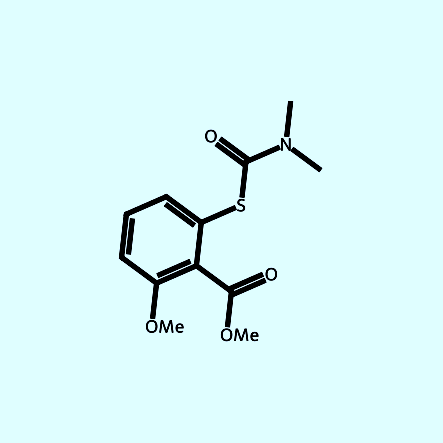 COC(=O)c1c(OC)cccc1SC(=O)N(C)C